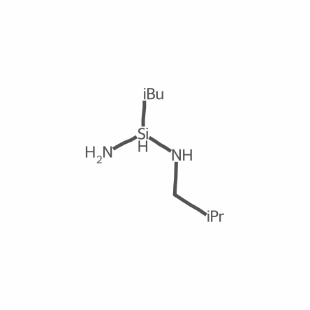 CCC(C)[SiH](N)NCC(C)C